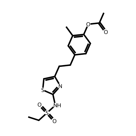 CCS(=O)(=O)Nc1nc(CCc2ccc(OC(C)=O)c(C)c2)cs1